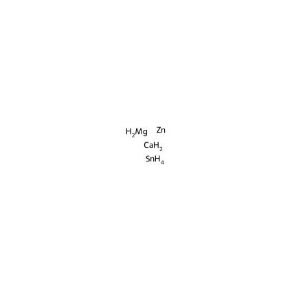 [CaH2].[MgH2].[SnH4].[Zn]